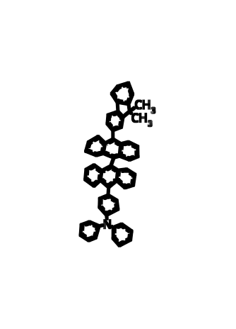 CC1(C)c2ccccc2-c2ccc(-c3c4ccccc4c(-c4c5ccccc5c(-c5ccc(N(c6ccccc6)c6ccccc6)cc5)c5ccccc45)c4ccccc34)cc21